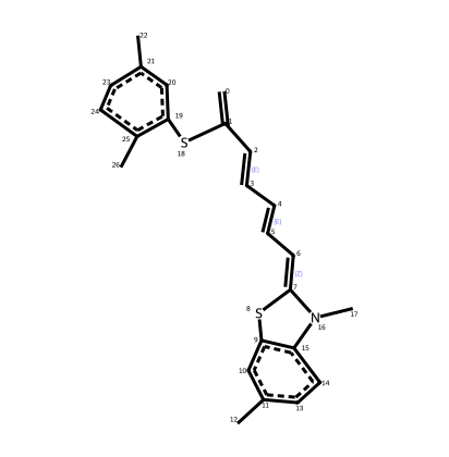 C=C(/C=C/C=C/C=C1\Sc2cc(C)ccc2N1C)Sc1cc(C)ccc1C